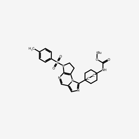 Cc1ccc(S(=O)(=O)N2CCc3c2ncc2cnc(C45CCC(NC(=O)OC(C)(C)C)(CC4)CC5)n32)cc1